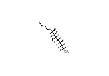 FC(F)(F)C(F)(F)C(F)(F)C(F)(F)C(F)(F)C(F)(F)C(F)(F)C(F)(F)CCCCI